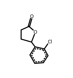 O=C1CCC(c2ccccc2Cl)O1